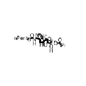 CCCCCOC(=O)Nc1ncnn2c([C@]3(C#N)O[C@H](COC(=O)C(C)C)[C@@H](O)[C@H]3O)ccc12